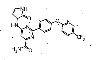 NC(=O)c1cc(NC2CCNC2=O)nc(-c2ccc(Oc3ccc(C(F)(F)F)cn3)cc2)n1